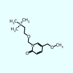 COCc1ccc(=O)n(COCC[Si](C)(C)C)c1